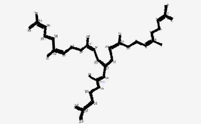 CC(C)=CCCC(C)=CCCC(C)=CC[C](/C=C(\C)CCC=C(C)C)CC=C(C)CCC=C(C)CCC=C(C)C